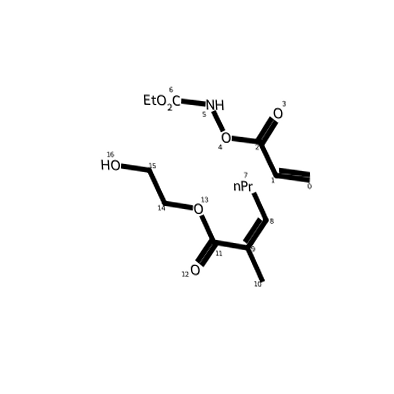 C=CC(=O)ONC(=O)OCC.CCCC=C(C)C(=O)OCCO